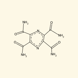 NC(=O)c1nc(C(N)=O)c(C(N)=O)nc1C(N)=O